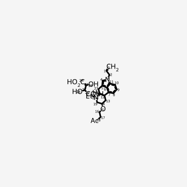 C=CCn1cc2c3c(cccc31)C1C[C@@H](OCCC(C)=O)CN(CC)[C@@H]1C2.O=C(O)C(O)C(O)C(=O)O